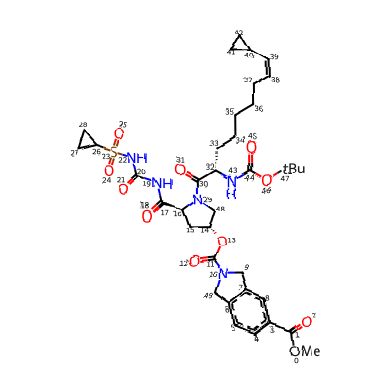 COC(=O)c1ccc2c(c1)CN(C(=O)O[C@@H]1C[C@@H](C(=O)NC(=O)NS(=O)(=O)C3CC3)N(C(=O)[C@H](CCCCC/C=C\C3CC3)NC(=O)OC(C)(C)C)C1)C2